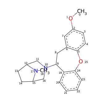 COc1ccc2c(c1)CC(N1CC3CCC(C1)N3C)c1ccccc1O2